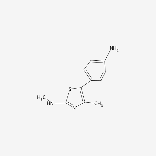 CNc1nc(C)c(-c2ccc(N)cc2)s1